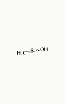 CCCSCCCO